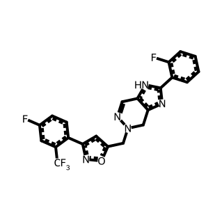 Fc1ccc(-c2cc(CN3Cc4nc(-c5ccccc5F)[nH]c4C=N3)on2)c(C(F)(F)F)c1